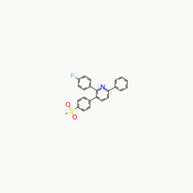 CS(=O)(=O)c1ccc(-c2ccc(-c3ccccc3)nc2-c2ccc(F)cc2)cc1